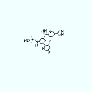 Cn1cc(C2=CN/C(=C(\C=N)c3cc(NCC(C)(C)O)cc(-c4ncc(F)cc4F)c3)C=C2)cn1